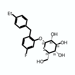 CCc1ccc(Cc2ccc(F)cc2O[C@H]2S[C@@H](CO)[C@@H](O)[C@H](O)[C@H]2O)cc1